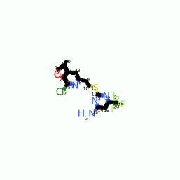 Cc1coc2c(Cl)nc(CCSc3nc(N)cc(C(F)(F)F)n3)cc12